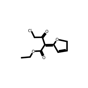 CCOC(=O)C(C(=O)CCl)=C1C=CCO1